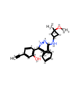 C#Cc1ccc(-c2nnc(NC3CC(C)(OC)C3)c3c2C2C=CC3CC2)c(O)c1